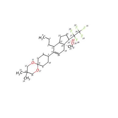 CCCC1C(C2CCC3(CC2)OCC(C)(C)CO3)=CC[C@@]2(C)C1CC[C@@]2(O)C(F)(F)C(F)(F)F